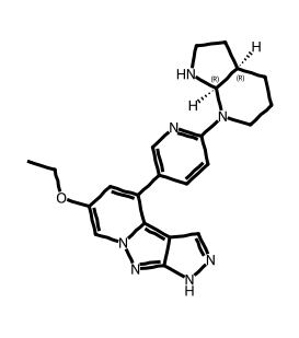 CCOc1cc(-c2ccc(N3CCC[C@@H]4CCN[C@@H]43)nc2)c2c3cn[nH]c3nn2c1